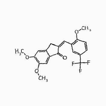 COc1ccc(C(F)(F)F)cc1C=C1Cc2cc(OC)c(OC)cc2C1=O